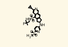 CC(C)(F)CNS(=O)(=O)c1c2c(cc3cnc(C4CC4)cc13)C[C@@H](Nc1ccc(S(N)(=O)=O)nc1)C2